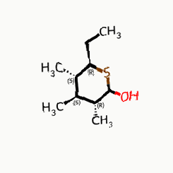 CC[C@H]1SC(O)[C@H](C)[C@@H](C)[C@@H]1C